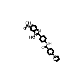 C[N+](=O)c1ccc2nc(-c3ccc(NC(=O)c4ccc(-n5cccn5)cc4)cc3)n(O)c2c1